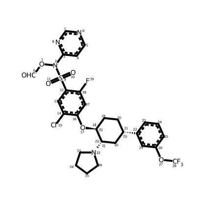 O=CON(c1ccncn1)S(=O)(=O)c1cc(Cl)c(O[C@H]2CC[C@H](c3cccc(OC(F)(F)F)c3)C[C@@H]2N2CCCC2)cc1F